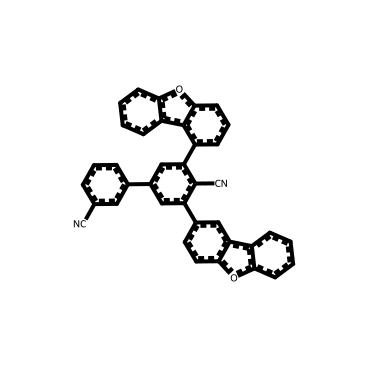 N#Cc1cccc(-c2cc(-c3ccc4oc5ccccc5c4c3)c(C#N)c(-c3cccc4oc5ccccc5c34)c2)c1